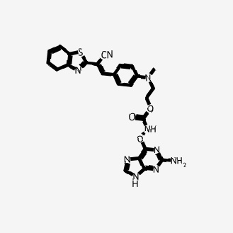 CN(CCOC(=O)NOc1nc(N)nc2[nH]cnc12)c1ccc(/C=C(\C#N)c2nc3c(s2)C=CCC3)cc1